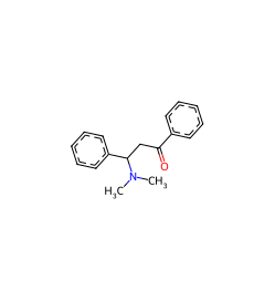 CN(C)C(CC(=O)c1ccccc1)c1ccccc1